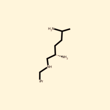 CC(C)CNC[C@@H](N)CCC(C)N